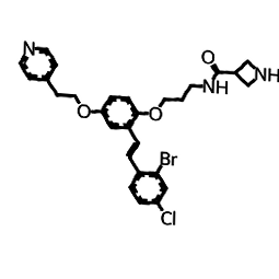 O=C(NCCCOc1ccc(OCCc2ccncc2)cc1/C=C/c1ccc(Cl)cc1Br)C1CNC1